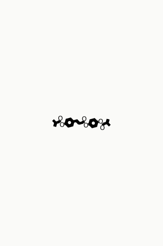 C=C(C)C(=O)Oc1ccc(/C=C/C(=O)Oc2ccc(OC(=O)C(=C)C)cc2)cc1